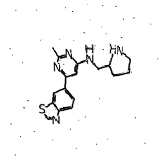 Cc1nc(NCC2CCCNC2)cc(-c2ccc3ncsc3c2)n1